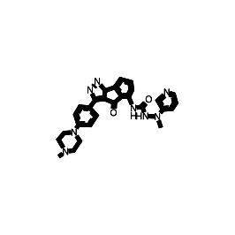 CN1CCN(c2ccc(C3=C4C(=O)c5c(NC(=O)NN(C)c6cccnc6)cccc5C4N=N3)cc2)CC1